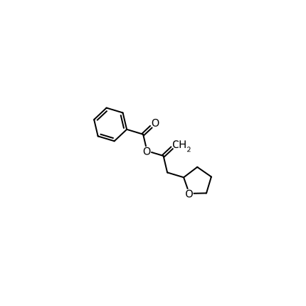 C=C(CC1CCCO1)OC(=O)c1ccccc1